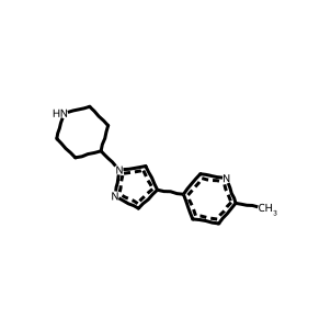 Cc1ccc(-c2cnn(C3CCNCC3)c2)cn1